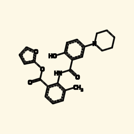 Cc1cccc(C(=O)Oc2ccco2)c1NC(=O)c1cc(N2CCCCC2)ccc1O